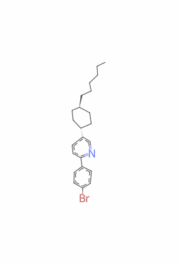 CCCCCC[C@H]1CC[C@H](c2ccc(-c3ccc(Br)cc3)nc2)CC1